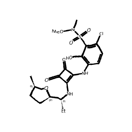 CC[C@@H](Nc1c(Nc2ccc(Cl)c(S(=O)(=O)N(C)OC)c2O)c(=O)c1=O)[C@H]1CC[C@@H](C)O1